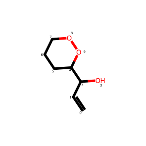 C=CC(O)C1CCCOO1